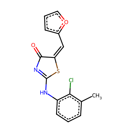 Cc1cccc(NC2=NC(=O)/C(=C\c3ccco3)S2)c1Cl